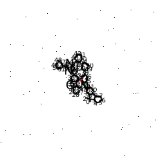 CC1(C)c2ccccc2-c2ccc(N(c3ccc(-c4ccccc4)cc3)c3cccc4oc5cc(-c6nc(-c7ccccc7)nc(-c7ccccc7)n6)ccc5c34)cc21